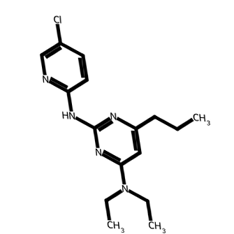 CCCc1cc(N(CC)CC)nc(Nc2ccc(Cl)cn2)n1